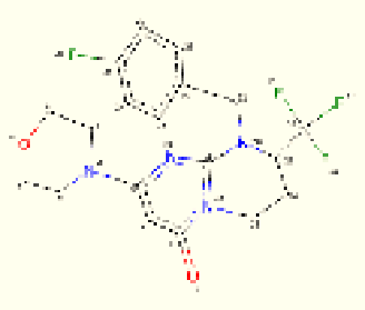 O=c1cc(N2CCOCC2)nc2n1CC[C@@H](C(F)(F)F)N2Cc1ccc(F)cc1